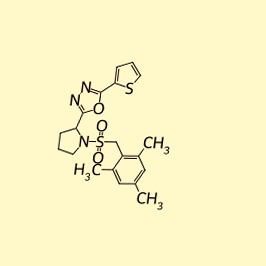 Cc1cc(C)c(CS(=O)(=O)N2CCCC2c2nnc(-c3cccs3)o2)c(C)c1